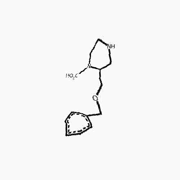 O=C(O)N1CCNCC1COCc1ccccc1